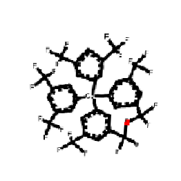 FC(F)(F)c1cc(C(F)(F)F)c[c]([Ga-]([c]2cc(C(F)(F)F)cc(C(F)(F)F)c2)([c]2cc(C(F)(F)F)cc(C(F)(F)F)c2)[c]2cc(C(F)(F)F)cc(C(F)(F)F)c2)c1